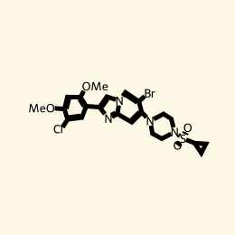 COc1cc(OC)c(-c2cn3cc(Br)c(N4CCN(S(=O)(=O)C5CC5)CC4)cc3n2)cc1Cl